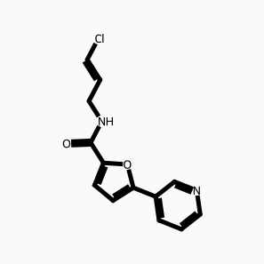 O=C(NCC=CCl)c1ccc(-c2cccnc2)o1